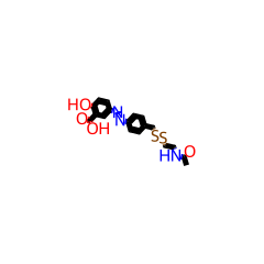 CC(=O)NCCSSCc1ccc(/N=N/c2ccc(O)c(C(=O)O)c2)cc1